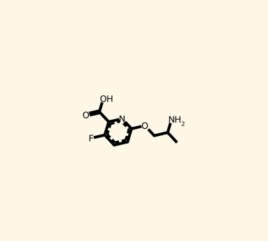 CC(N)COc1ccc(F)c(C(=O)O)n1